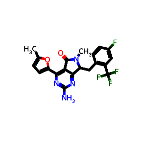 Cc1ccc(-c2nc(N)nc3c2C(=O)N(C)C3Cc2ccc(F)cc2C(F)(F)F)o1